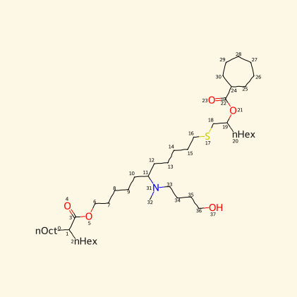 CCCCCCCCC(CCCCCC)C(=O)OCCCCCC(CCCCCSCC(CCCCCC)OC(=O)C1CCCCCC1)N(C)CCCCO